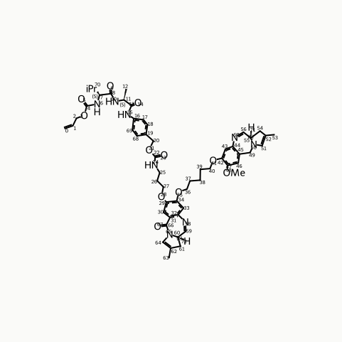 C=CCOC(=O)N[C@H](C(=O)N[C@@H](C)C(=O)Nc1ccc(COC(=O)NCCCOc2cc3c(cc2OCCCCCOc2cc4c(cc2OC)CN2C=C(C)C[C@H]2C=N4)N=C[C@@H]2CC(C)=CN2C3=O)cc1)C(C)C